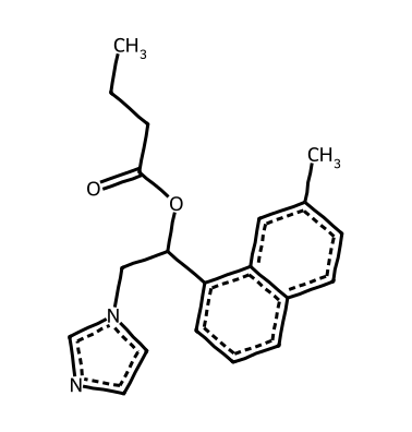 CCCC(=O)OC(Cn1ccnc1)c1cccc2ccc(C)cc12